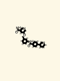 NC(=O)c1cncc(OCc2cccc(NC(=O)c3ccc(-c4cccnc4)cc3)c2)c1